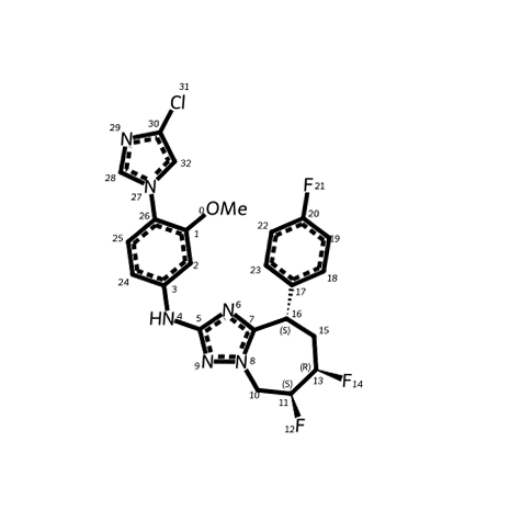 COc1cc(Nc2nc3n(n2)C[C@H](F)[C@H](F)C[C@H]3c2ccc(F)cc2)ccc1-n1cnc(Cl)c1